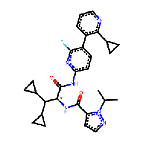 CC(C)n1nccc1C(=O)N[C@H](C(=O)Nc1ccc(-c2cccnc2C2CC2)c(F)n1)C(C1CC1)C1CC1